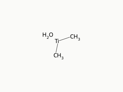 O.[CH3][Ti][CH3]